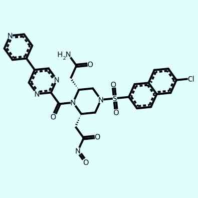 NC(=O)C[C@@H]1CN(S(=O)(=O)c2ccc3cc(Cl)ccc3c2)C[C@H](CC(=O)N=O)N1C(=O)c1ncc(-c2ccncc2)cn1